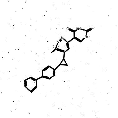 Cc1nnc(-c2c[nH]c(=O)[nH]c2=O)cc1C1CC1c1ccc(-c2ccccc2)cc1